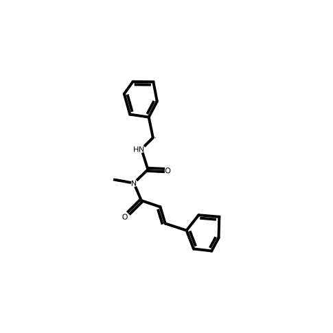 CN(C(=O)C=Cc1ccccc1)C(=O)N[CH]c1ccccc1